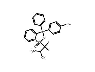 CC(C)(C)c1ccc(S(OS(=O)(=O)C(F)(F)C(O)C(F)(F)F)(c2ccccc2)c2ccccc2)cc1